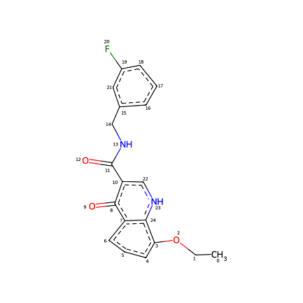 CCOc1cccc2c(=O)c(C(=O)NCc3cccc(F)c3)c[nH]c12